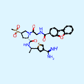 C[C@@H](NC(=O)[C@@H]1C[C@@H](S(C)(=O)=O)CN1C(=O)CNC(=O)c1ccc2c(c1)oc1ccccc12)c1cc(C(=N)N)cs1